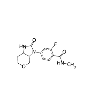 CNC(=O)c1ccc(N2C(=O)NC3CCOCC32)cc1F